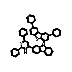 C1=CCC(c2ccc3sc4c(N5c6cc(C7=CC(c8ccccc8)=NC(c8ccccc8)N7)ccc6C6=CC=CCC65)cc(-c5ccccc5)cc4c3c2)C=C1